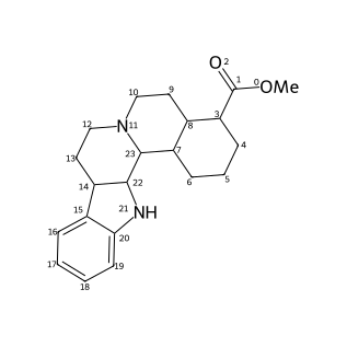 COC(=O)C1CCCC2C1CCN1CCC3c4ccccc4NC3C21